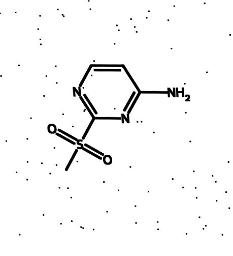 CS(=O)(=O)c1nccc(N)n1